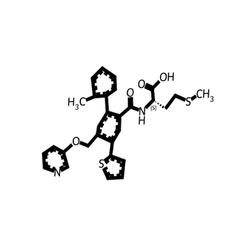 CSCC[C@H](NC(=O)c1cc(-c2cccs2)c(COc2cccnc2)cc1-c1ccccc1C)C(=O)O